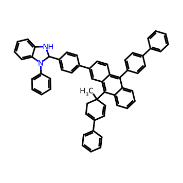 CC1(c2c3ccccc3c(-c3ccc(-c4ccccc4)cc3)c3ccc(-c4ccc(C5Nc6ccccc6N5c5ccccc5)cc4)cc23)C=CC(c2ccccc2)=CC1